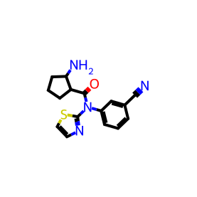 N#Cc1cccc(N(C(=O)C2CCCC2N)c2nccs2)c1